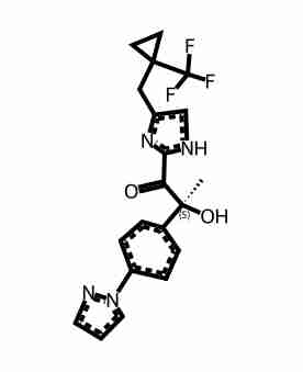 C[C@@](O)(C(=O)c1nc(CC2(C(F)(F)F)CC2)c[nH]1)c1ccc(-n2cccn2)cc1